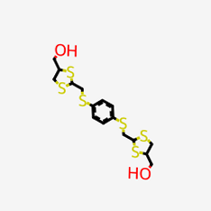 OCC1CSC(CSc2ccc(SCC3SCC(CO)S3)cc2)S1